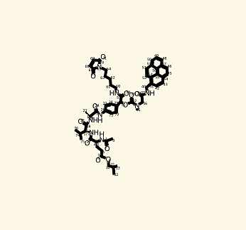 CC(=O)N[C@@H](CCC(=O)OCC(C)C)C(=O)N[C@H](C(=O)N[C@@H](C)C(=O)Nc1ccc(C(OC(=O)N(C)CC(=O)NCc2ccc3ccc4cccc5ccc2c3c45)C(=O)NCCCCCN2C(=O)C=CC2=O)cc1)C(C)C